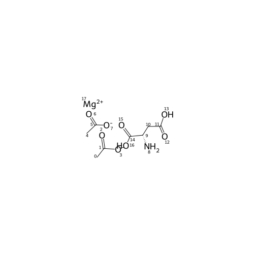 CC(=O)[O-].CC(=O)[O-].N[C@@H](CC(=O)O)C(=O)O.[Mg+2]